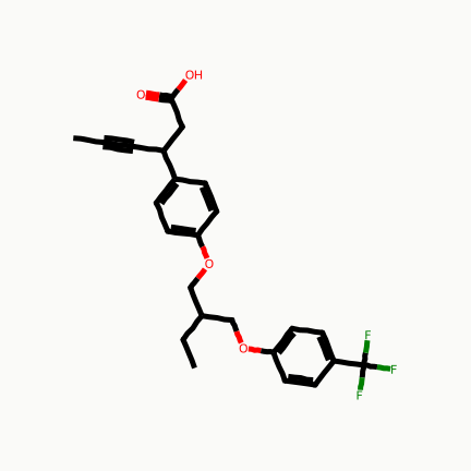 CC#CC(CC(=O)O)c1ccc(OCC(CC)COc2ccc(C(F)(F)F)cc2)cc1